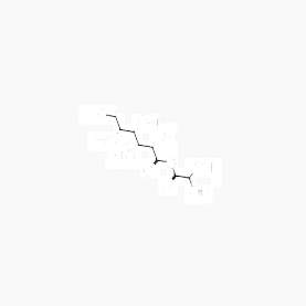 CC(O)C(=O)OC(=O)[C@@H](O)[C@H](O)[C@@H](O)[C@@H](O)CO